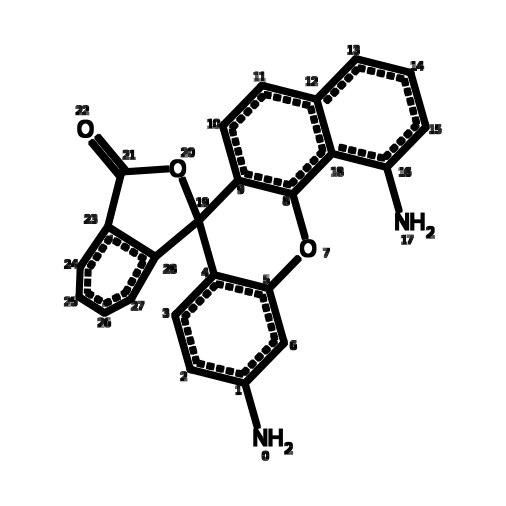 Nc1ccc2c(c1)Oc1c(ccc3cccc(N)c13)C21OC(=O)c2ccccc21